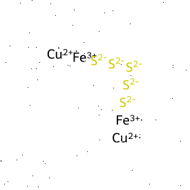 [Cu+2].[Cu+2].[Fe+3].[Fe+3].[S-2].[S-2].[S-2].[S-2].[S-2]